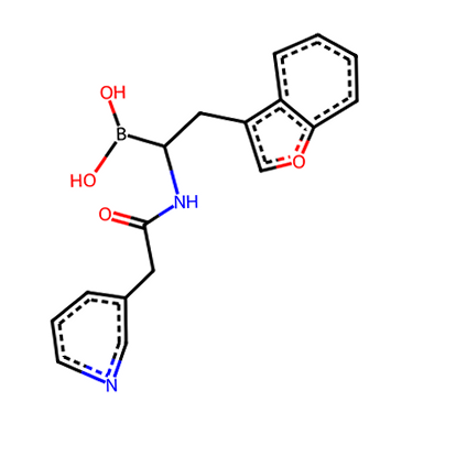 O=C(Cc1cccnc1)NC(Cc1coc2ccccc12)B(O)O